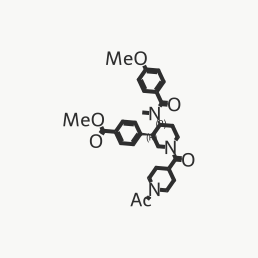 COC(=O)c1ccc([C@@H]2CN(C(=O)C3CCN(C(C)=O)CC3)CC[C@H]2N(C)C(=O)c2ccc(OC)cc2)cc1